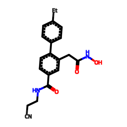 CCc1ccc(-c2ccc(C(=O)NCCC#N)cc2CC(=O)NO)cc1